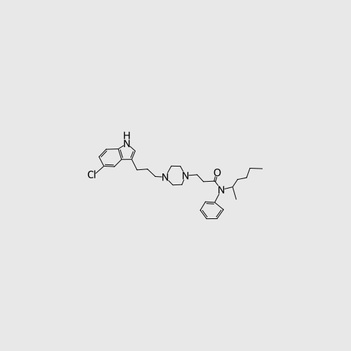 CCCCC(C)N(C(=O)CCN1CCN(CCCc2c[nH]c3ccc(Cl)cc23)CC1)c1ccccc1